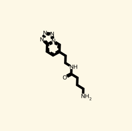 NCCCC(=O)NCCc1ccc2nnnn2c1